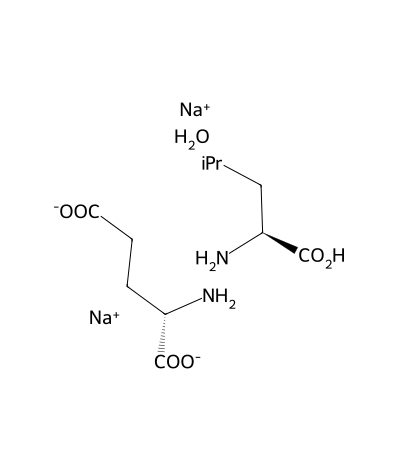 CC(C)C[C@H](N)C(=O)O.N[C@@H](CCC(=O)[O-])C(=O)[O-].O.[Na+].[Na+]